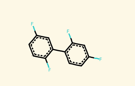 Fc1ccc(-c2cc(F)c[c]c2F)c(F)c1